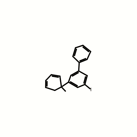 CC1(c2cc(I)cc(-c3ccccc3)c2)C=CC=CC1